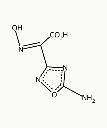 Nc1nc(/C(=N/O)C(=O)O)no1